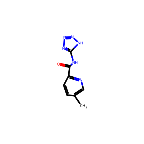 Cc1ccc(C(=O)Nc2nnn[nH]2)nc1